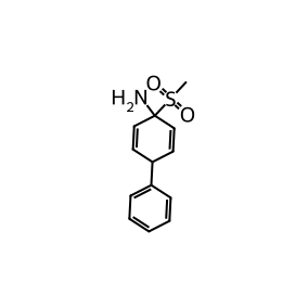 CS(=O)(=O)C1(N)C=CC(c2ccccc2)C=C1